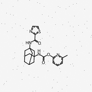 Cc1cccc(OC(=O)NC23CC4CC(C2)CC(NC(=O)c2nccs2)(C4)C3)n1